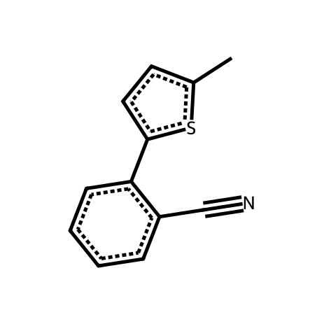 Cc1ccc(-c2ccccc2C#N)s1